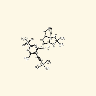 Cc1nc(S(C)(=O)=O)nc(N[C@@H]2C[C@H](CO)[C@H]3OC(C)(C)O[C@H]32)c1C#C[Si](C)(C)C